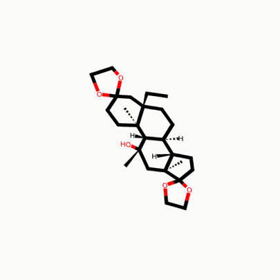 CC[C@@]12CC[C@@H]3[C@H]([C@@](C)(O)C[C@@]4(C)[C@H]3CCC43OCCO3)[C@@]1(C)CCC1(C2)OCCO1